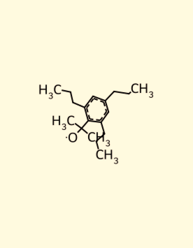 CCCc1cc(CCC)c(C(C)(C)[O])c(CCC)c1